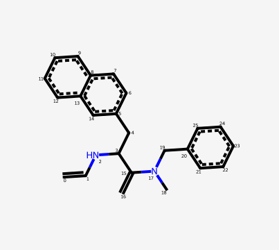 C=CNC(Cc1ccc2ccccc2c1)C(=C)N(C)Cc1ccccc1